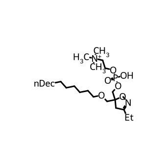 CCCCCCCCCCCCCCCCOCC1(COP(=O)(O)OCC[N+](C)(C)C)CC(CC)=NO1